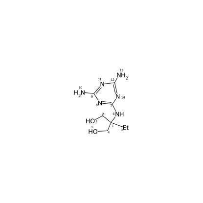 CCC(CO)(CO)Nc1nc(N)nc(N)n1